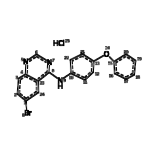 Brc1ccc2ncnc(Nc3ccc(Oc4ccccc4)cc3)c2c1.Cl